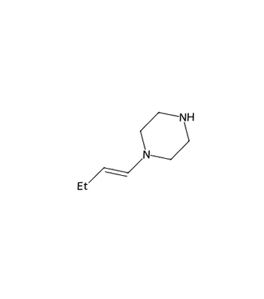 [CH2]C/C=C/N1CCNCC1